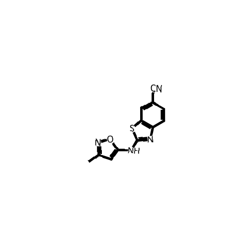 Cc1cc(Nc2nc3ccc(C#N)cc3s2)on1